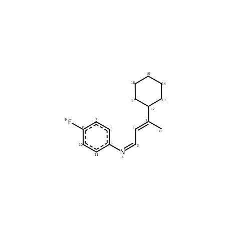 C/C(=C\C=N/c1ccc(F)cc1)C1CCCCC1